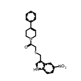 O=C(CSCc1c[nH]c2ccc([N+](=O)[O-])cc12)N1CC=C(c2ccccc2)CC1